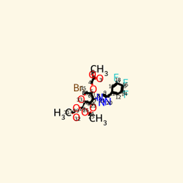 COC(=O)CO[C@@H]1[C@@H](n2cc(-c3cc(F)c(F)c(F)c3)nn2)[C@@H](OC(C)=O)[C@@H](COC(C)=O)O[C@@H]1Br